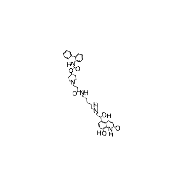 O=C(CCN1CCC(OC(=O)Nc2ccccc2-c2ccccc2)CC1)NCCCCCNC[C@H](O)c1ccc(O)c2[nH]c(=O)ccc12